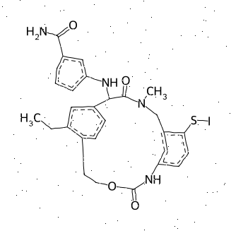 CCc1cc2ccc1CCOC(=O)Nc1ccc(SI)c(c1)CN(C)C(=O)C2Nc1cccc(C(N)=O)c1